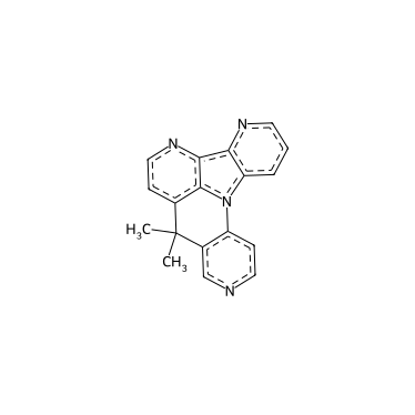 CC1(C)c2cnccc2-n2c3cccnc3c3nccc1c32